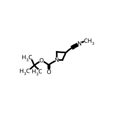 C[N+]#CC1CN(C(=O)OC(C)(C)C)C1